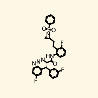 [N-]=[N+]=N[C@H](C(=O)Nc1cccc(F)c1CCC1CN1S(=O)(=O)c1ccccc1)C(c1cccc(F)c1)c1cccc(F)c1